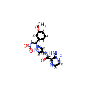 COc1cccc(C(C[N+](=O)[O-])n2cc(NC(=O)c3nccnc3N)cn2)c1